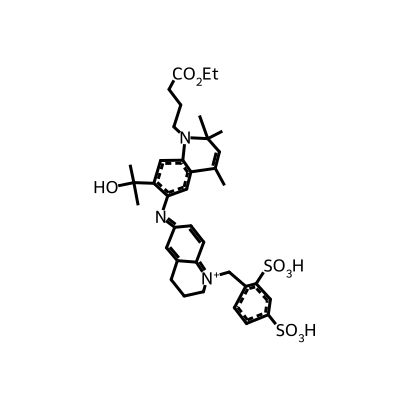 CCOC(=O)CCCN1c2cc(C(C)(C)O)c(/N=C3\C=CC4=[N+](Cc5ccc(S(=O)(=O)O)cc5S(=O)(=O)O)CCCC4=C3)cc2C(C)=CC1(C)C